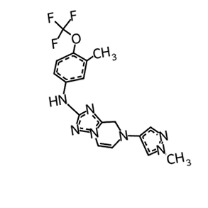 Cc1cc(Nc2nc3n(n2)C=CN(c2cnn(C)c2)C3)ccc1OC(F)(F)F